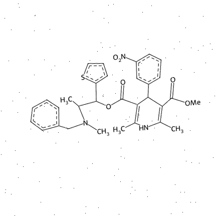 COC(=O)C1=C(C)NC(C)=C(C(=O)OC(c2cccs2)C(C)N(C)Cc2ccccc2)C1c1cccc([N+](=O)[O-])c1